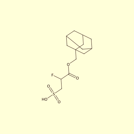 O=C(OCC12CC3CC(CC(C3)C1)C2)C(F)CS(=O)(=O)O